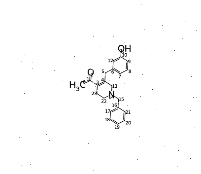 CC(=O)C1=C(Cc2cccc(O)c2)CN(Cc2ccccc2)CC1